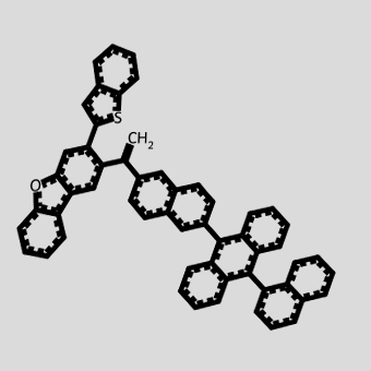 C=C(c1ccc2cc(-c3c4ccccc4c(-c4cccc5ccccc45)c4ccccc34)ccc2c1)c1cc2c(cc1-c1cc3ccccc3s1)oc1ccccc12